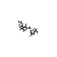 Fc1c(C2C[C@@H]2c2cc(Cl)nn3c(F)cnc23)ncc2cnn(CC(F)(F)F)c12